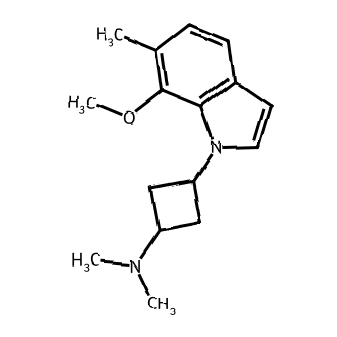 COc1c(C)ccc2ccn(C3CC(N(C)C)C3)c12